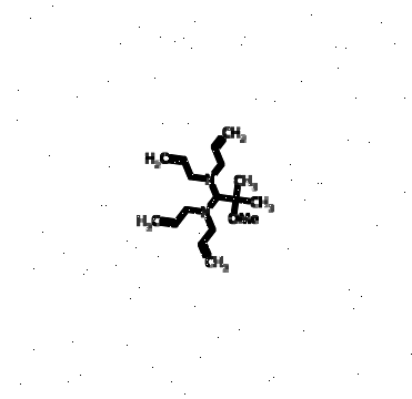 C=CCN(CC=C)C(N(CC=C)CC=C)C(C)(C)OC